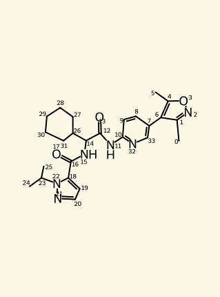 Cc1noc(C)c1-c1ccc(NC(=O)C(NC(=O)c2ccnn2C(C)C)C2CCCCC2)nc1